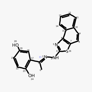 C/C(=N\Nc1nc2c(ccc3ccccc32)s1)c1cc(O)ccc1O